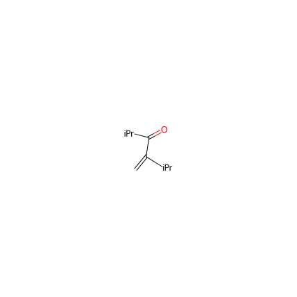 C=C(C(=O)C(C)C)C(C)C